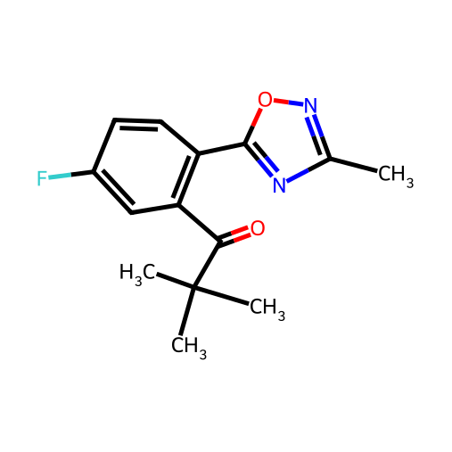 Cc1noc(-c2ccc(F)cc2C(=O)C(C)(C)C)n1